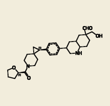 O=CC1(CO)CCC2NCC(c3ccc([C@@H]4CC45CCN(C(=O)[C@H]4CCCO4)CC5)cc3)CC2C1